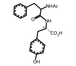 CC(=O)NC(Cc1[c]cccc1)C(=O)N[C@@H](Cc1ccc(O)cc1)C(=O)O